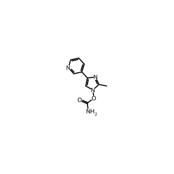 Cc1nc(-c2cccnc2)cn1OC(N)=O